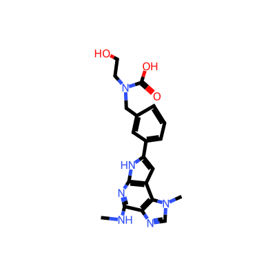 CNc1nc2[nH]c(-c3cccc(CN(CCO)C(=O)O)c3)cc2c2c1ncn2C